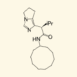 CC(C)[C@@H](C(=O)NC1CCCCCCCCC1)c1ncn2c1CCC2